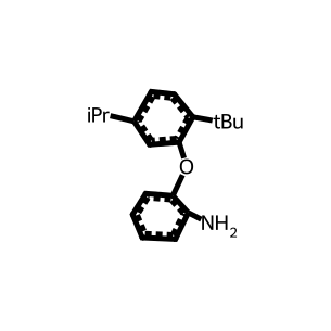 CC(C)c1ccc(C(C)(C)C)c(Oc2ccccc2N)c1